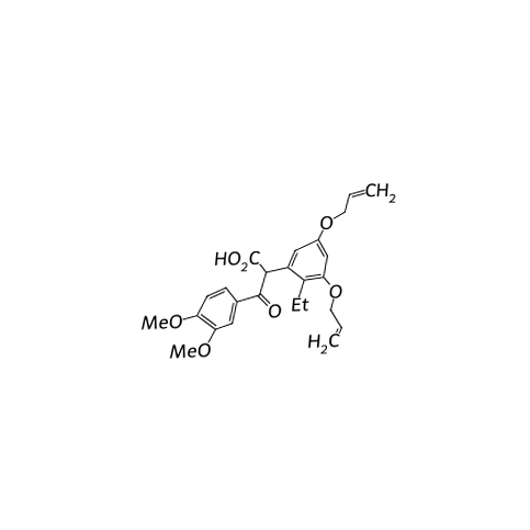 C=CCOc1cc(OCC=C)c(CC)c(C(C(=O)O)C(=O)c2ccc(OC)c(OC)c2)c1